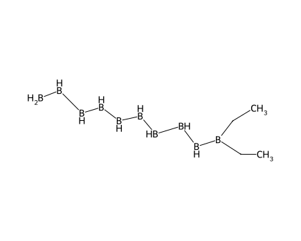 BBBBBBBBBB(CC)CC